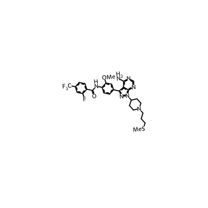 COc1cc(-c2nn(C3CCN(CCCSC)CC3)c3ncnc(N)c23)ccc1NC(=O)c1ccc(C(F)(F)F)cc1F